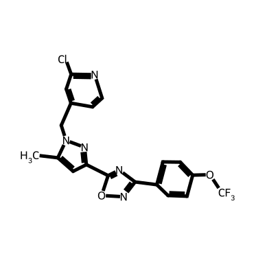 Cc1cc(-c2nc(-c3ccc(OC(F)(F)F)cc3)no2)nn1Cc1ccnc(Cl)c1